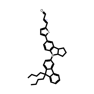 CCCCC1(CCCC)c2ccccc2-c2cc(N3c4ccc(-c5ccc(/C=C/C=O)s5)cc4C4CCCC43)ccc21